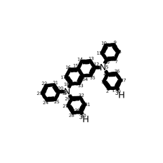 [3H]c1ccc(N(c2ccccc2)c2ccc3ccc(N(c4ccccc4)c4ccc([3H])cc4)cc3c2)cc1